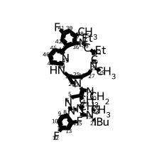 C=N/C(=C(C)/C=N\N(c1ccc(F)cc1F)N(C)CN(C)C(C)CC)N1CC2CC1CN(C)CC(CC)CN(CC)c1c(C)cc(F)cc1-c1cccc(n1)N2